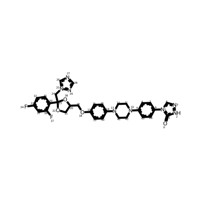 O=c1[nH]ncn1-c1ccc(N2CCN(c3ccc(OCC4COC(Cn5cncn5)(c5ccc(F)cc5F)O4)cc3)CC2)cc1